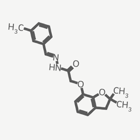 Cc1cccc(/C=N/NC(=O)COc2cccc3c2OC(C)(C)C3)c1